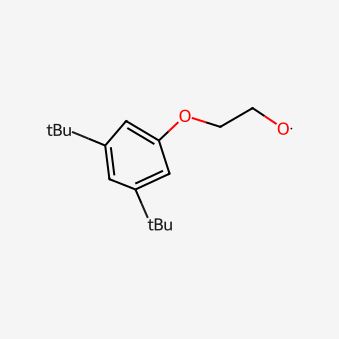 CC(C)(C)c1cc(OCC[O])cc(C(C)(C)C)c1